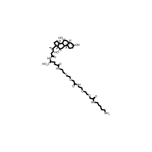 C[C@H](CCC(=O)NC(CCC(=O)NCCOCCOCC(=O)NCCOCCOCC(=O)NCCCCCN)C(=O)O)C1CC[C@H]2C3C(C[C@H](O)[C@]12C)[C@@]1(C)CC[C@@H](O)C[C@H]1C[C@H]3O